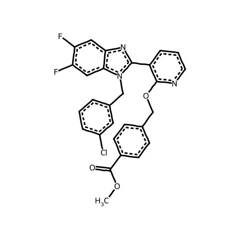 COC(=O)c1ccc(COc2ncccc2-c2nc3cc(F)c(F)cc3n2Cc2cccc(Cl)c2)cc1